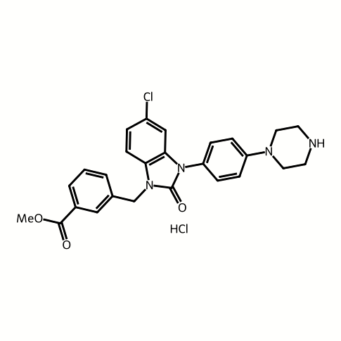 COC(=O)c1cccc(Cn2c(=O)n(-c3ccc(N4CCNCC4)cc3)c3cc(Cl)ccc32)c1.Cl